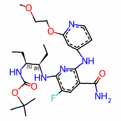 CC[C@H](NC(=O)OC(C)(C)C)[C@@H](CC)Nc1nc(Nc2ccnc(OCCOC)c2)c(C(N)=O)cc1F